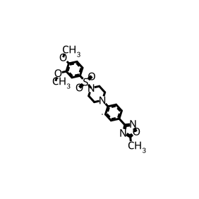 COc1ccc(S(=O)(=O)N2CCN(c3[c]cc(-c4noc(C)n4)cc3)CC2)cc1OC